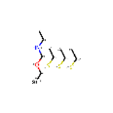 CCNCO[CH2][Sn+3].CC[S-].CC[S-].CC[S-]